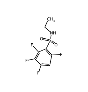 CCNS(=O)(=O)c1c(F)cc(F)c(F)c1F